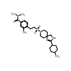 Cc1cc(C(=O)N(C)C)ccc1CCS(=O)(=O)N1CCC2(CC1)CNC(C1CCC(C)CC1)=N2